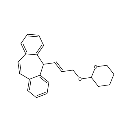 C(=CC1c2ccccc2C=Cc2ccccc21)COC1CCCCO1